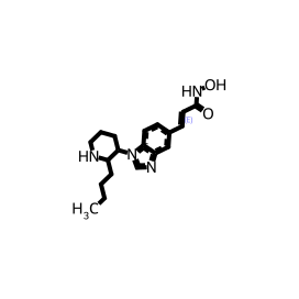 CCCCC1NCCCC1n1cnc2cc(/C=C/C(=O)NO)ccc21